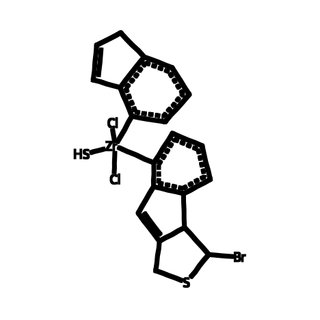 [SH][Zr]([Cl])([Cl])([c]1cccc2c1C=CC2)[c]1cccc2c1C=C1CSC(Br)C12